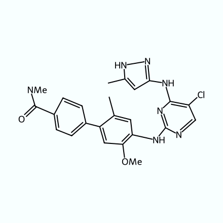 CNC(=O)c1ccc(-c2cc(OC)c(Nc3ncc(Cl)c(Nc4cc(C)[nH]n4)n3)cc2C)cc1